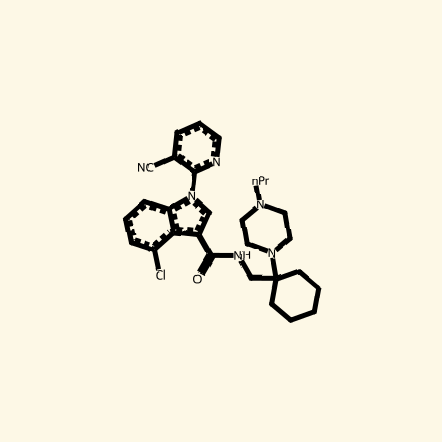 CCCN1CCN(C2(CNC(=O)c3cn(-c4ncccc4C#N)c4cccc(Cl)c34)CCCCC2)CC1